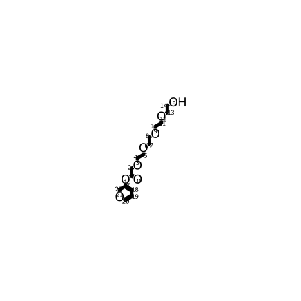 O=C(COCCOCCOCCOCCO)OC1=CC=COC1